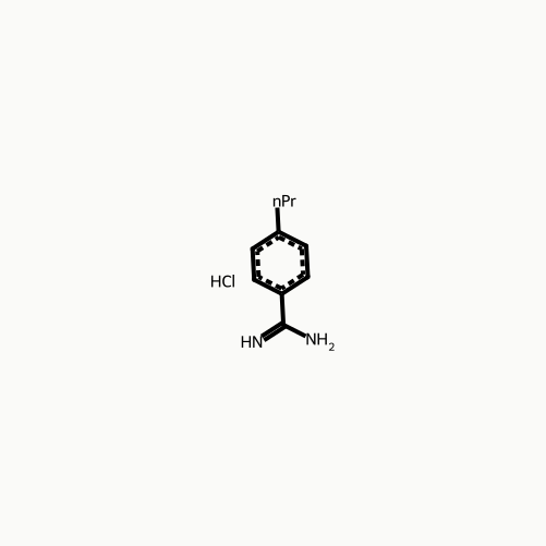 CCCc1ccc(C(=N)N)cc1.Cl